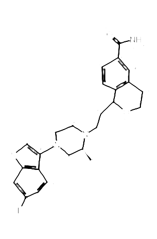 C[C@H]1CN(c2csc3cc(F)ccc23)CCN1CCC1OCCc2cc(C(N)=O)ccc21